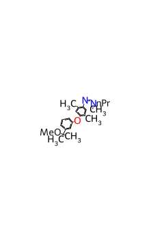 CCCN(C)/C=N\c1cc(C)c(Oc2cccc(C(C)(C)OC)c2)cc1C